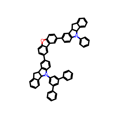 c1ccc(-c2cc(-c3ccccc3)cc(N3c4ccc(-c5ccc6oc7ccc(-c8ccc9c(c8)C8Cc%10ccccc%10C8N9c8ccccc8)cc7c6c5)cc4C4Cc5ccccc5C43)c2)cc1